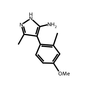 COc1ccc(-c2c(C)n[nH]c2N)c(C)c1